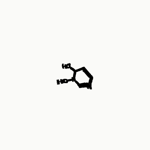 OC1C=CN=CN1O